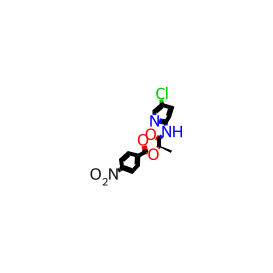 C[C@@H](OC(=O)c1ccc([N+](=O)[O-])cc1)C(=O)Nc1ccc(Cl)cn1